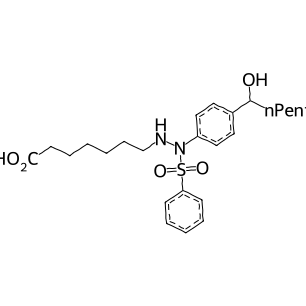 CCCCCC(O)c1ccc(N(NCCCCCCC(=O)O)S(=O)(=O)c2ccccc2)cc1